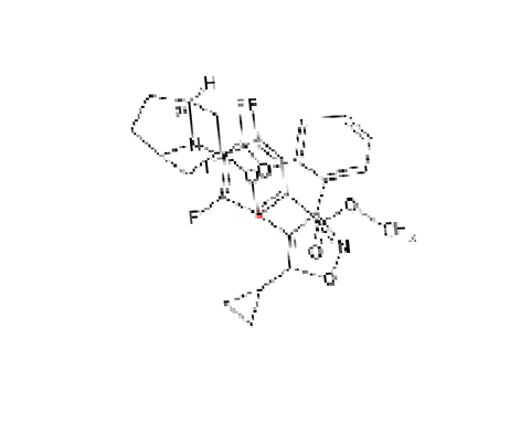 COC(=O)c1cc(F)c(N2C3CC[C@H]2CC(OCc2c(-c4ccccc4OC(F)F)noc2C2CC2)C3)c(F)c1